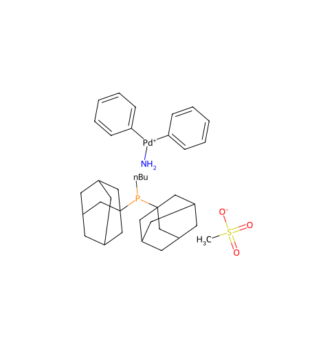 CCCCP(C12CC3CC(CC(C3)C1)C2)C12CC3CC(CC(C3)C1)C2.CS(=O)(=O)[O-].[NH2][Pd+]([c]1ccccc1)[c]1ccccc1